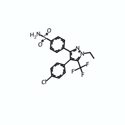 CCn1nc(-c2ccc(S(N)(=O)=O)cc2)c(-c2ccc(Cl)cc2)c1C(F)(F)F